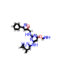 C=C(/C=C(\N)Nc1cc(OC=N)nc(NCc2cc(-c3ccccc3)no2)n1)C1CC1